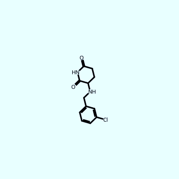 O=C1CCC(NCc2cccc(Cl)c2)C(=O)N1